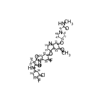 CNC(=O)CN1CCC(Oc2cc3nccc(Oc4ccc(NC(=O)C5(C(=O)Nc6ccc(F)c(Cl)c6)CC5)cc4F)c3cc2OC)CC1